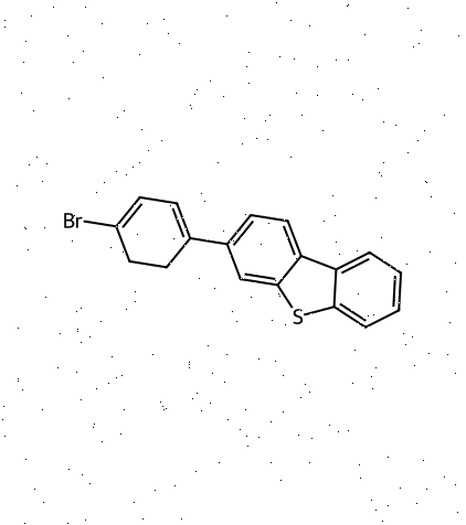 BrC1=CC=C(c2ccc3c(c2)sc2ccccc23)CC1